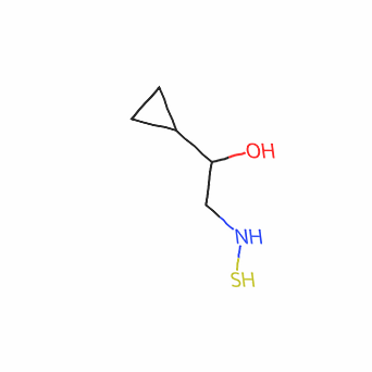 OC(CNS)C1CC1